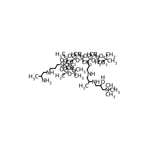 CC(N)CNCCC[Si](C)(O[Si](C)(C)O[Si](C)(C)C)O[Si](C)(C)O[Si](C)(C)O[Si](C)(C)O[Si](C)(CCCNCC(C)NCC(O)C[N+](C)(C)C)O[Si](C)(C)O[Si](C)(C)C